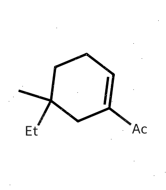 CCC1(C)CCC=C(C(C)=O)C1